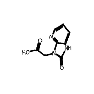 O=C(O)Cn1c(=O)[nH]c2cccnc21